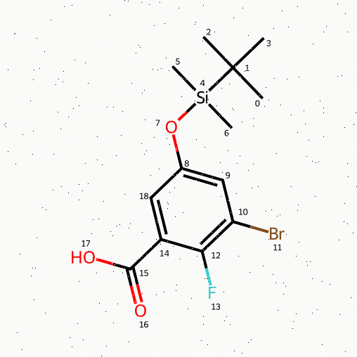 CC(C)(C)[Si](C)(C)Oc1cc(Br)c(F)c(C(=O)O)c1